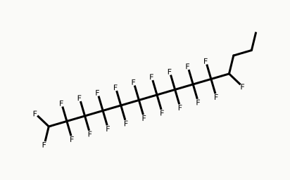 CCCC(F)C(F)(F)C(F)(F)C(F)(F)C(F)(F)C(F)(F)C(F)(F)C(F)(F)C(F)(F)C(F)(F)[C](F)F